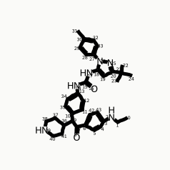 CCNc1ccc(C(=O)C(c2ccc(NC(=O)Nc3cc(C(C)(C)C)nn3-c3ccc(C)cc3)cc2)C2CCNCC2)cc1